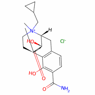 C[N+]1(CC2CC2)CC[C@]23CC(=O)CC[C@@]2(O)[C@H]1Cc1ccc(C(N)=O)c(O)c13.[Cl-]